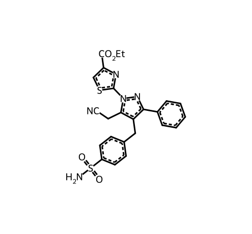 CCOC(=O)c1csc(-n2nc(-c3ccccc3)c(Cc3ccc(S(N)(=O)=O)cc3)c2CC#N)n1